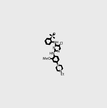 CCN1CCN(c2ccc(Nc3ncc(Cl)c(Nc4ccccc4P(C)(C)=O)n3)c(OC)c2)CC1